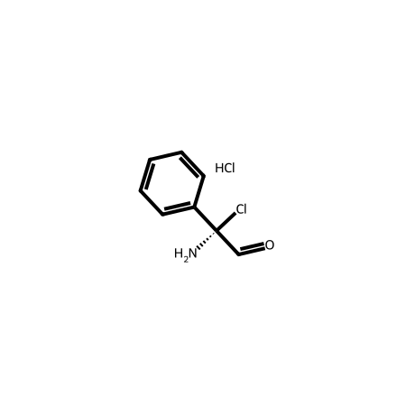 Cl.N[C@](Cl)(C=O)c1ccccc1